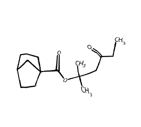 CCC(=O)CC(C)(C)OC(=O)C12[CH]CC(CC1)C2